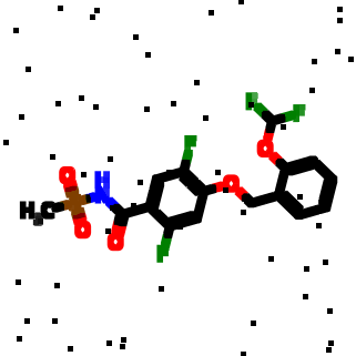 CS(=O)(=O)NC(=O)c1cc(F)c(OCc2ccccc2OC(F)F)cc1F